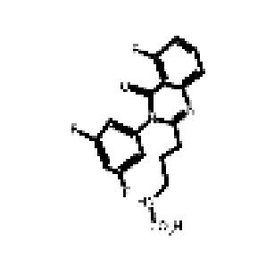 O=C(O)NCCCc1nc2cccc(F)c2c(=O)n1-c1cc(F)cc(F)c1